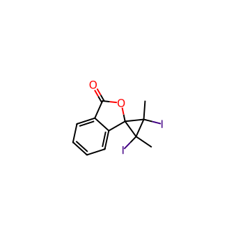 CC1(I)C(C)(I)C12OC(=O)c1ccccc12